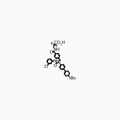 CC(C)(C)C1CC=C(c2ccc(N(Cc3ccc(C(=O)NCC(F)(F)C(=O)O)cc3)C(=O)Nc3cccc(Cl)c3)cc2)CC1